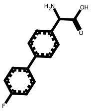 NC(C(=O)O)c1ccc(-c2ccc(F)cc2)cc1